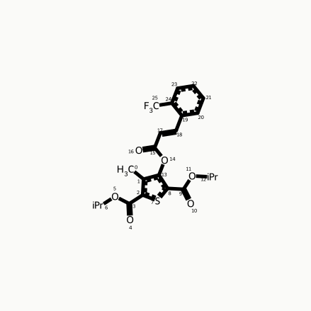 Cc1c(C(=O)OC(C)C)sc(C(=O)OC(C)C)c1OC(=O)C=Cc1ccccc1C(F)(F)F